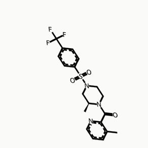 Cc1cccnc1C(=O)N1CCN(S(=O)(=O)c2ccc(C(F)(F)F)cc2)C[C@@H]1C